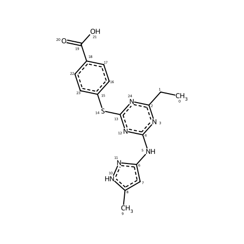 CCc1nc(Nc2cc(C)[nH]n2)nc(Sc2ccc(C(=O)O)cc2)n1